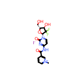 C[n+]1cccc(C(=O)Nc2ccn([C@@H]3O[C@H](CO)[C@@H](O)C3(F)F)c(=O)n2)c1.[I-]